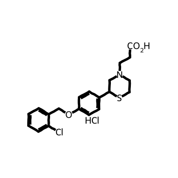 Cl.O=C(O)CCN1CCSC(c2ccc(OCc3ccccc3Cl)cc2)C1